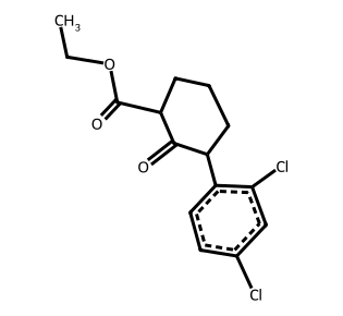 CCOC(=O)C1CCCC(c2ccc(Cl)cc2Cl)C1=O